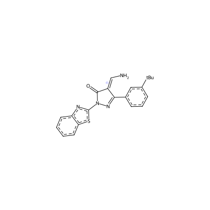 CC(C)(C)c1cccc(C2=NN(c3nc4ccccc4s3)C(=O)/C2=C/N)c1